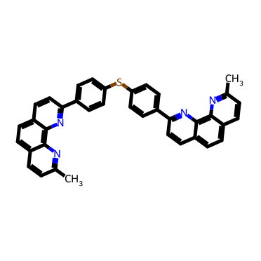 Cc1ccc2ccc3ccc(-c4ccc(Sc5ccc(-c6ccc7ccc8ccc(C)nc8c7n6)cc5)cc4)nc3c2n1